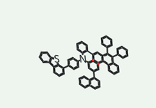 c1ccc(-c2c(-c3ccccc3)c3cc(-c4ccccc4N(c4ccc(-c5cccc6c5sc5ccccc56)cc4)c4cccc(-c5cccc6ccccc56)c4)ccc3c3ccccc23)cc1